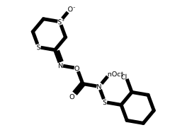 CCCCCCCCN(SC1CCCCC1Cl)C(=O)ON=C1C[S+]([O-])CCS1